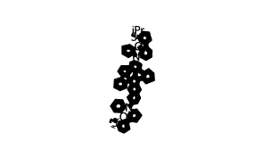 CC(C)Sc1cccc2c1oc1c(N(c3ccccc3)c3ccc4c5c(c6ccccc6c4c3)-c3cc4ccc(N(c6ccccc6)c6cccc7c6oc6c([Si](C)(C)C)cccc67)cc4cc3C5(c3ccccc3)c3ccccc3)cccc12